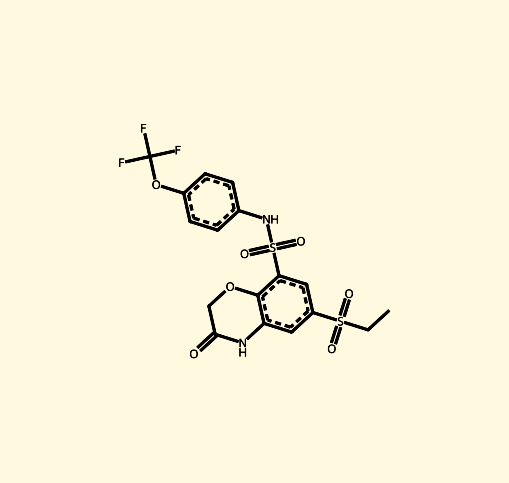 CCS(=O)(=O)c1cc2c(c(S(=O)(=O)Nc3ccc(OC(F)(F)F)cc3)c1)OCC(=O)N2